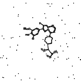 COc1cc(-c2cc3c(N4CCC(C(C)N(C)C)CC4)[c]cnc3cc2F)cc(Cl)c1O